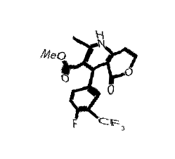 COC(=O)C1=C(C)NC2=C(C(=O)OCC2)C1c1ccc(F)c(C(F)(F)F)c1